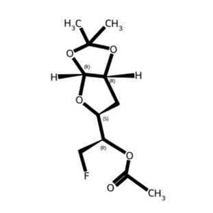 CC(=O)O[C@@H](CF)[C@@H]1C[C@H]2OC(C)(C)O[C@H]2O1